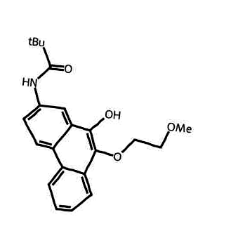 COCCOc1c(O)c2cc(NC(=O)C(C)(C)C)ccc2c2ccccc12